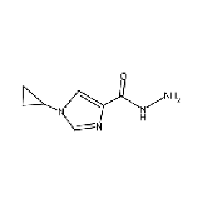 NNC(=O)c1cn(C2CC2)cn1